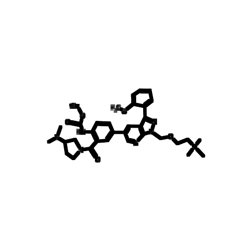 CN(C)C1CCN(C(=O)c2cc(-c3cnc4c(c3)c(-c3ccccc3OC(F)(F)F)nn4COCC[Si](C)(C)C)ccc2NC(=O)OC(C)(C)C)C1